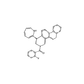 O=C(c1ccccc1F)C1C=c2c(ccc3c2=CCc2ccccc2-3)C(C2=CC=CC=CN2)C1